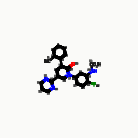 N#Cc1ccccc1-c1cc(-c2ncccn2)cn(-c2ccc(F)c(NC(=O)O)c2)c1=O